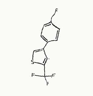 Fc1ccc(-c2[c]c(C(F)(F)F)sc2)cc1